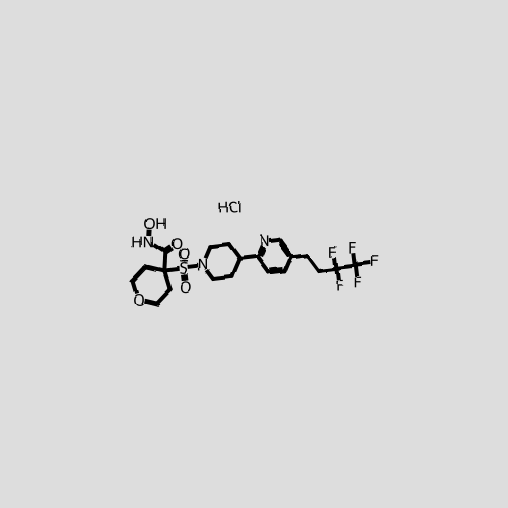 Cl.O=C(NO)C1(S(=O)(=O)N2CCC(c3ccc(CCC(F)(F)C(F)(F)F)cn3)CC2)CCOCC1